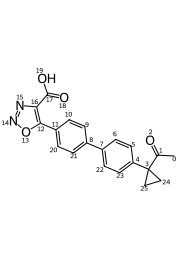 CC(=O)C1(c2ccc(-c3ccc(-c4onnc4C(=O)O)cc3)cc2)CC1